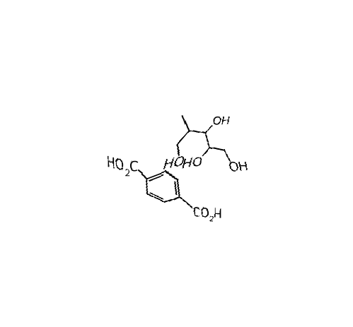 CC(CO)C(O)C(O)CO.O=C(O)c1ccc(C(=O)O)cc1